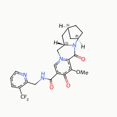 COc1c2n(cc(C(=O)NCc3ncccc3C(F)(F)F)c1=O)C[C@@H]1C[C@H]3CC[C@H](C3)N1C2=O